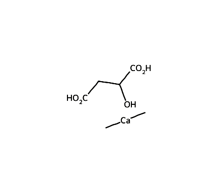 O=C(O)CC(O)C(=O)O.[CH3][Ca][CH3]